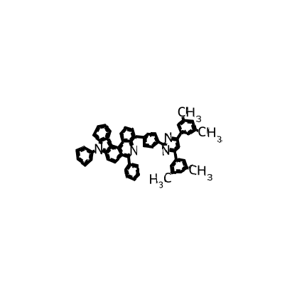 Cc1cc(C)cc(-c2cc(-c3cc(C)cc(C)c3)nc(-c3ccc(-c4cccc5c4nc(-c4ccccc4)c4ccc6c(c7ccccc7n6-c6ccccc6)c45)cc3)n2)c1